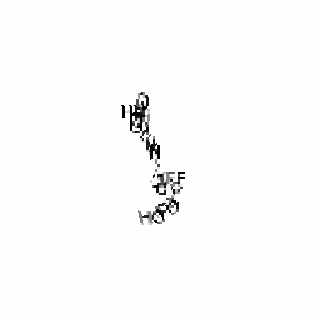 O=C1CCC(N2Cc3cc(N4CCN(CCCCCOc5ccc(C6c7ccc(O)cc7OCC6c6ccc(F)c(F)c6)cc5F)CC4)ccc3C2=O)C(=O)N1